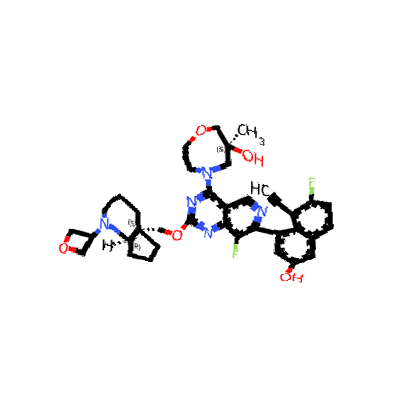 C#Cc1c(F)ccc2cc(O)cc(-c3ncc4c(N5CCOC[C@@](C)(O)C5)nc(OC[C@]56CCC[C@H]5N(C5COC5)CCC6)nc4c3F)c12